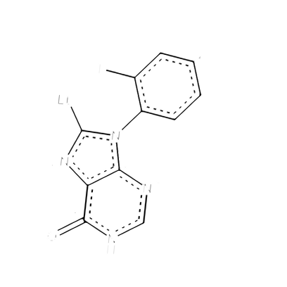 CCc1nc2c(=O)[nH]cnc2n1-c1ccccc1F